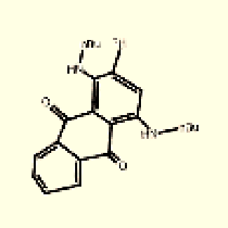 [2H]c1cc(NCCCC)c2c(c1NCCCC)C(=O)c1ccccc1C2=O